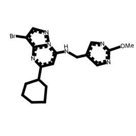 COc1ncc(CNc2cc(C3CCCCC3)nc3c(Br)cnn23)cn1